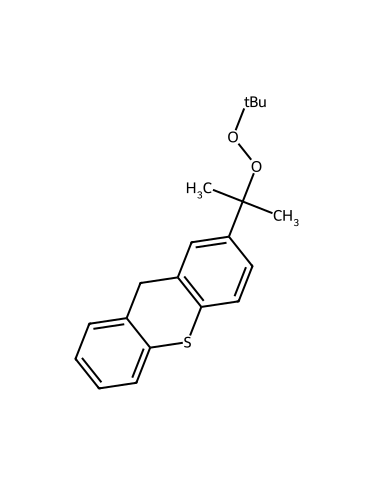 CC(C)(C)OOC(C)(C)c1ccc2c(c1)Cc1ccccc1S2